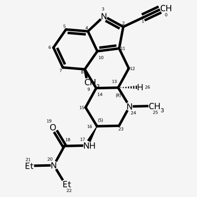 C#CC1=NC2=CC=CC3(C)C2=C1C[C@@H]1C3C[C@H](NC(=O)N(CC)CC)CN1C